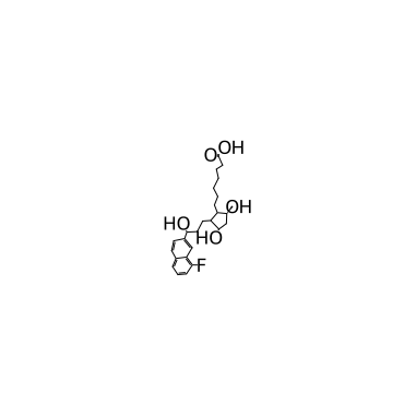 O=C(O)CCCCCCC1C(CCC(O)c2ccc3cccc(F)c3c2)[C@H](O)C[C@@H]1O